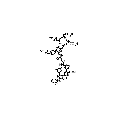 COc1cc2c(cc1-c1cncc(NC(=O)CCC(=O)NC[C@H](NC(=O)CN3CCN(CC(=O)O)CCN(CC(=O)O)CCN(CC(=O)O)CC3)C(=O)N3CCN(CCS(=O)(=O)O)CC3)c1)-c1c(c(C(=O)N3CCOCC3(C)C)nn1-c1cc(F)cc(F)c1)CO2